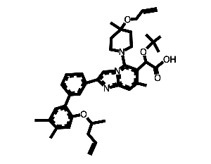 C=CCOC1(C)CCN(c2c(C(OC(C)(C)C)C(=O)O)c(C)cc3nc(-c4cccc(-c5cc(C)c(C)cc5OC(C)CC=C)c4)cn23)CC1